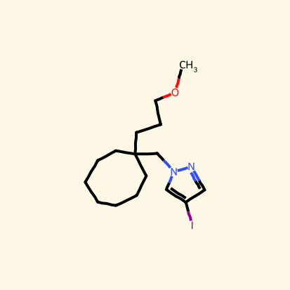 COCCCC1(Cn2cc(I)cn2)CCCCCCC1